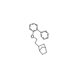 c1ccc(-c2ccccc2OCCC2CC3CCC2C3)cc1